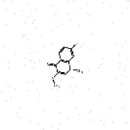 CSc1cn(C)c2cc(Cl)ccc2c1=O